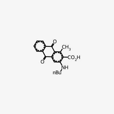 CCCCNc1cc2c(c(C)c1C(=O)O)C(=O)c1ccccc1C2=O